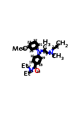 C=CCN(C)CC(C)N(c1ccc(C(=O)N(CC)CC)cc1)c1cccc(OC)c1